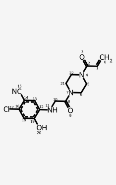 C=CC(=O)N1CCN(C(=O)CNc2cc(C#N)c(Cl)cc2O)CC1